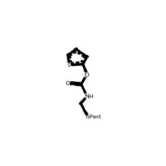 CCCCCCNC(=O)Oc1cccs1